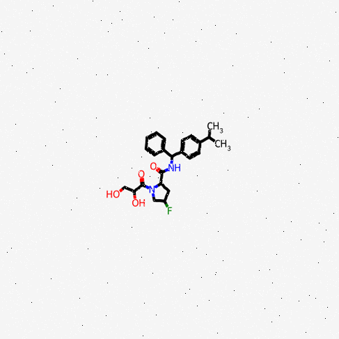 CC(C)c1ccc(C(NC(=O)C2CC(F)CN2C(=O)C(O)CO)c2ccccc2)cc1